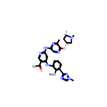 CCC(=O)c1cnc(Nc2cnc(O[C@@H]3C[C@H](C)N(C)C3)c(C)n2)cc1Nc1cccc(-c2ncn(C)n2)c1OC